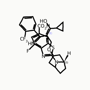 N=C(/C(COC1CC2CC[C@@H](C1)N2c1nc2c(F)cc(C(=O)O)cc2s1)=C(\O)C1CC1)c1ccccc1C(F)(F)F